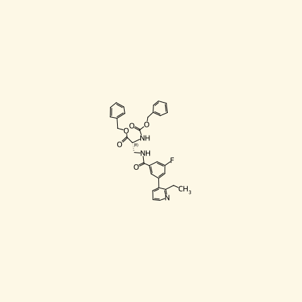 CCc1ncccc1-c1cc(F)cc(C(=O)NC[C@@H](NC(=O)OCc2ccccc2)C(=O)OCc2ccccc2)c1